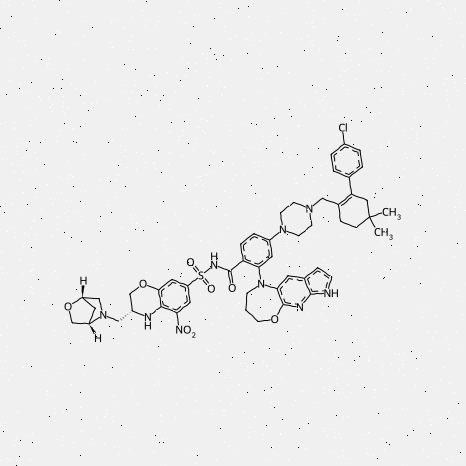 CC1(C)CCC(CN2CCN(c3ccc(C(=O)NS(=O)(=O)c4cc5c(c([N+](=O)[O-])c4)N[C@H](CN4C[C@@H]6C[C@H]4CO6)CO5)c(N4CCCOc5nc6[nH]ccc6cc54)c3)CC2)=C(c2ccc(Cl)cc2)C1